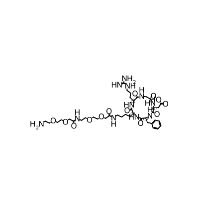 N=C(N)NCCC[C@@H]1NC(=O)[C@H](CCCCNC(=O)COCCOCCNC(=O)COCCOCCN)NC(=O)[C@H](Cc2ccccc2)NC(=O)[C@H](CC(=O)O)NC(=O)CNC1=O